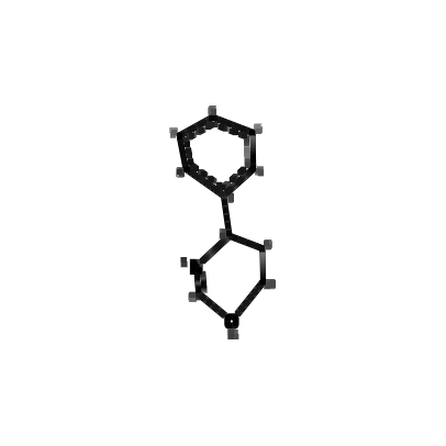 [C]1=NC(c2ccccc2)CCO1